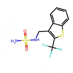 NS(=O)(=O)NCc1c(C(F)(F)F)sc2ccccc12